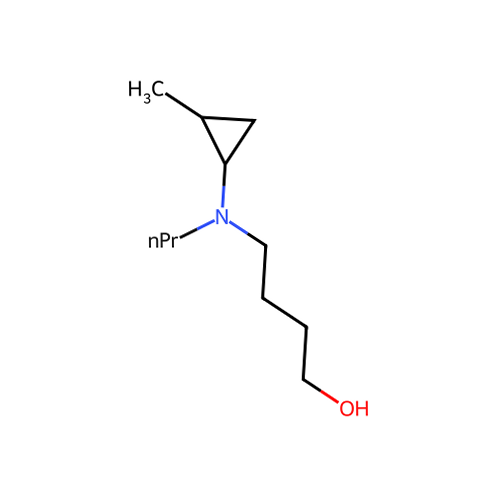 CCCN(CCCCO)C1CC1C